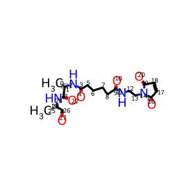 C[C@H](NC(=O)CCCCC(=O)NCCN1C(=O)C=CC1=O)C(=O)N[C@@H](C)C=O